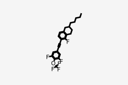 CCCCCC1CCc2c(ccc(C#Cc3cc(F)c(OC(F)(F)F)c(F)c3)c2F)C1